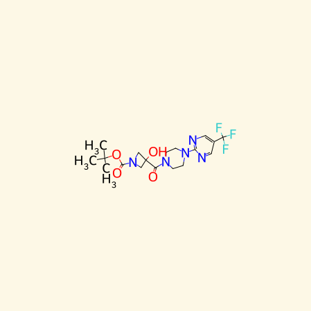 CC(C)(C)OC(=O)N1CC(O)(C(=O)N2CCN(c3ncc(C(F)(F)F)cn3)CC2)C1